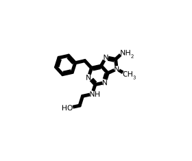 Cn1c(N)nc2c(Cc3ccccc3)nc(NCCO)nc21